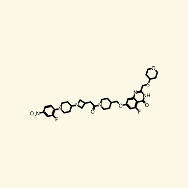 O=C(CC1CN(C2CCN(c3ccc([N+](=O)[O-])cc3F)CC2)C1)N1CCC(COc2cc(F)c3c(=O)[nH]c(CSC4CCOCC4)nc3c2)CC1